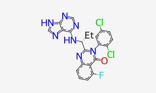 CC[C@@H](Nc1ncnc2[nH]cnc12)c1nc2cccc(F)c2c(=O)n1-c1cc(Cl)ccc1Cl